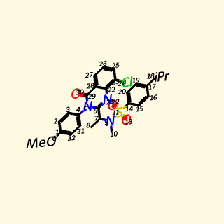 COc1ccc(-n2c(C(C)N(C)S(=O)(=O)c3ccc(C(C)C)cc3)nc3c(Cl)cccc3c2=O)cc1